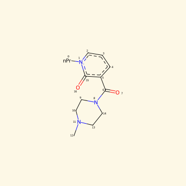 CCCn1cccc(C(=O)N2CCN(C)CC2)c1=O